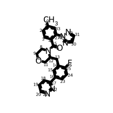 Cc1ccc(C(=O)N2CCOCC2Cc2cc(-c3cccnn3)ccc2F)c(-n2nccn2)c1